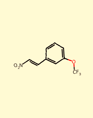 O=[N+]([O-])C=Cc1cccc(OC(F)(F)F)c1